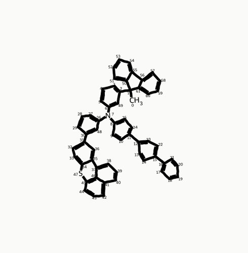 CC1(c2cccc(N(c3ccc(-c4ccc(-c5ccccc5)cc4)cc3)c3cccc(-c4ccc5c(c4)-c4cccc6cccc(c46)S5)c3)c2)c2ccccc2-c2ccccc21